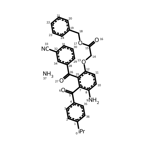 CC(C)c1ccc(C(=O)c2c(N)ccc(OCC(=O)OCc3ccccc3)c2C(=O)c2cccc(C#N)c2)cc1.N